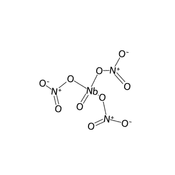 O=[N+]([O-])[O][Nb](=[O])([O][N+](=O)[O-])[O][N+](=O)[O-]